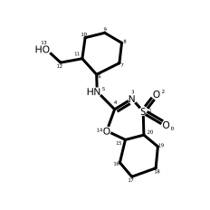 O=S1(=O)N=C(NC2CCCCC2CO)OC2CCCCC21